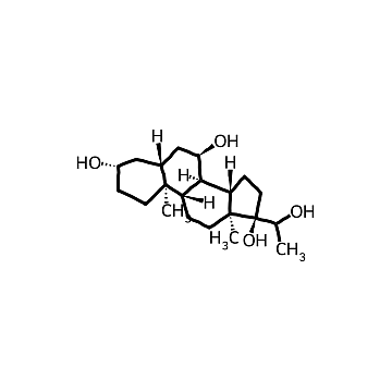 CC(O)[C@@]1(O)CC[C@H]2[C@@H]3[C@H](O)C[C@H]4C[C@@H](O)CC[C@]4(C)[C@H]3CC[C@@]21C